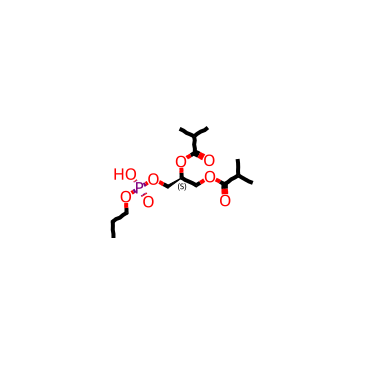 CCCOP(=O)(O)OC[C@H](COC(=O)C(C)C)OC(=O)C(C)C